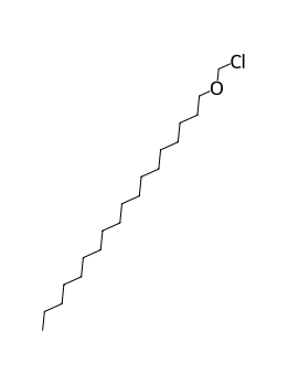 CCCCCCCCCCCCCCCCCCOCCl